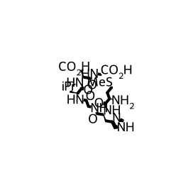 CSCC[C@H](N)C(=O)N[C@@H](Cc1c[nH]cn1)C(=O)NCC(=O)N[C@@H](CC(C)C)C(=O)N[C@@H](CC(=O)O)C(=O)NCC(=O)O